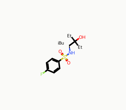 CC[C@H](C)[C@H](NS(=O)(=O)c1ccc(F)cc1)C(O)(CC)CC